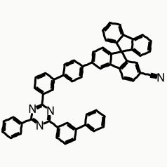 N#Cc1ccc2c(c1)C1(c3ccccc3-c3ccccc31)c1ccc(-c3ccc(-c4cccc(-c5nc(-c6ccccc6)nc(-c6cccc(-c7ccccc7)c6)n5)c4)cc3)cc1-2